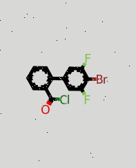 O=C(Cl)c1ccccc1-c1cc(F)c(Br)c(F)c1